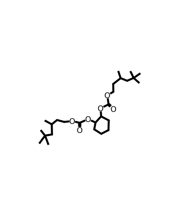 CC(CCOC(=O)OC1CCCCC1OC(=O)OCCC(C)CC(C)(C)C)CC(C)(C)C